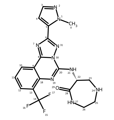 Cn1nccc1-c1nc2c3cccc(C(F)(F)F)c3nc(N[C@@H]3CNCCNC3=O)n2n1